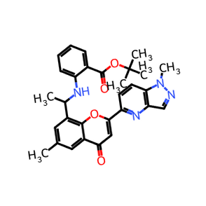 Cc1cc(C(C)Nc2ccccc2C(=O)OC(C)(C)C)c2oc(-c3ccc4c(cnn4C)n3)cc(=O)c2c1